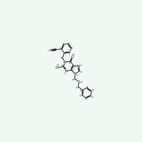 N#Cc1ccccc1Cn1c(Cl)nc2c(ncn2COCc2ccccc2)c1=O